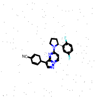 N#CC1=CCC(c2cnn3ccc(N4CCC[C@@H]4c4cc(F)ccc4F)nc23)C=C1